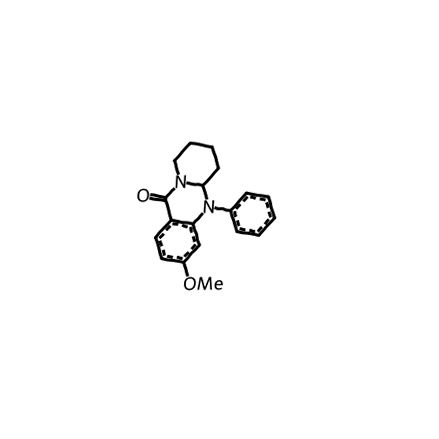 COc1ccc2c(c1)N(c1ccccc1)C1CCCCN1C2=O